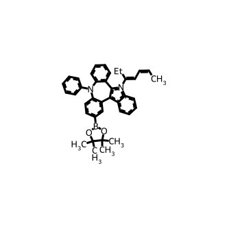 C/C=C\C=C(/CC)n1c2c(c3ccccc31)-c1cc(B3OC(C)(C)C(C)(C)O3)ccc1N(c1ccccc1)c1ccccc1-2